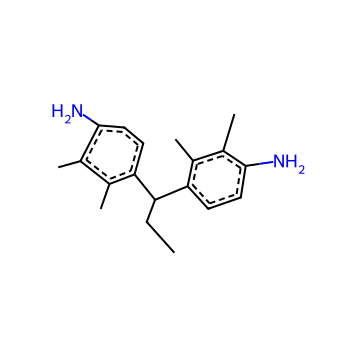 CCC(c1ccc(N)c(C)c1C)c1ccc(N)c(C)c1C